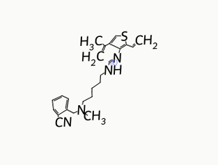 C=Cc1scc(C(=C)C)c1/N=C/NCCCCCN(C)Cc1ccccc1C#N